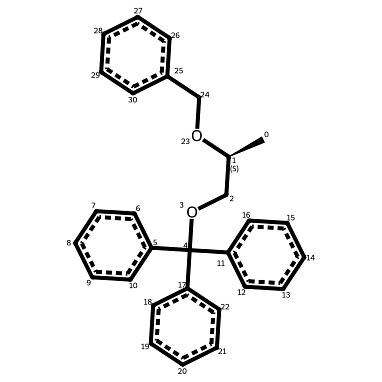 C[C@@H](COC(c1ccccc1)(c1ccccc1)c1ccccc1)OCc1ccccc1